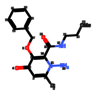 CCc1cc(=O)c(OCc2ccccc2)c(C(=O)NCCOC)n1N